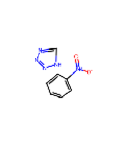 O=[N+]([O-])c1ccccc1.c1nnn[nH]1